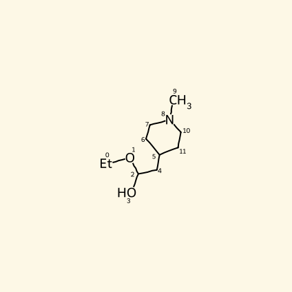 CCOC(O)CC1CCN(C)CC1